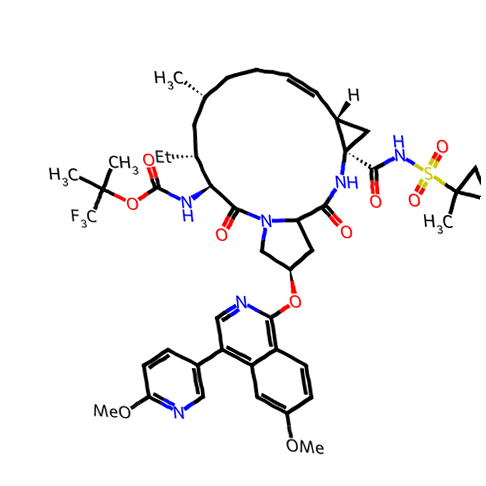 CC[C@@H]1C[C@H](C)CC/C=C\[C@@H]2C[C@@]2(C(=O)NS(=O)(=O)C2(C)CC2)NC(=O)C2C[C@@H](Oc3ncc(-c4ccc(OC)nc4)c4cc(OC)ccc34)CN2C(=O)[C@H]1NC(=O)OC(C)(C)C(F)(F)F